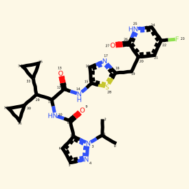 CC(C)n1nccc1C(=O)NC(C(=O)Nc1cnc(Cc2cc(F)c[nH]c2=O)s1)C(C1CC1)C1CC1